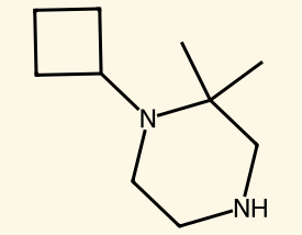 CC1(C)CNCCN1C1CCC1